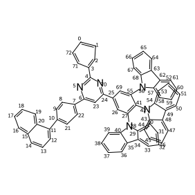 c1ccc(-c2nc(-c3ccc(-c4cccc5ccccc45)cc3)cc(-c3cc(-n4c5ccccc5c5ccccc54)c(-n4c5ccccc5c5ccccc54)c(-n4c5ccccc5c5ccccc54)c3)n2)cc1